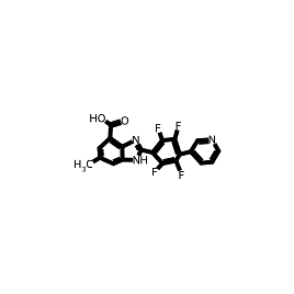 Cc1cc(C(=O)O)c2nc(-c3c(F)c(F)c(-c4cccnc4)c(F)c3F)[nH]c2c1